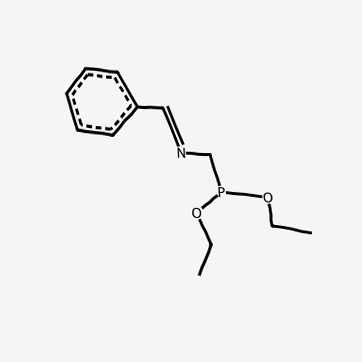 CCOP(C/N=C/c1ccccc1)OCC